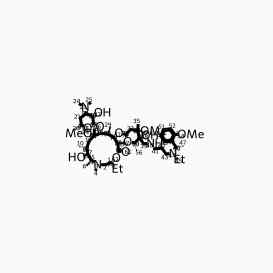 CC[C@@H]1CN(C)[C@@H](C)[C@@H](O)[C@H](C)C[C@](C)(OC)[C@H](O[C@@H]2O[C@H](C)C[C@H](N(C)C)[C@H]2O)[C@@H](C)[C@H](O[C@H]2C[C@@](C)(OC)[C@](O)(CNCCCN(CC)[C@@H](C)c3ccccc3OC)[C@H](C)O2)[C@@H](C)C(=O)O1